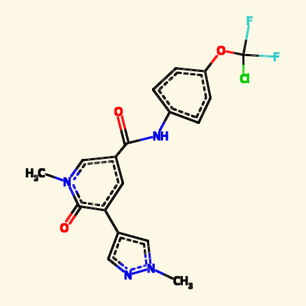 Cn1cc(-c2cc(C(=O)Nc3ccc(OC(F)(F)Cl)cc3)cn(C)c2=O)cn1